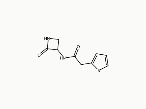 O=C(Cc1cccs1)NC1CNC1=O